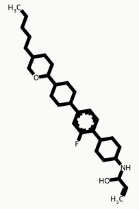 C=CC(O)NC1CCC(c2ccc(C3CCC(C4CCC(CCCCC)CO4)CC3)cc2F)CC1